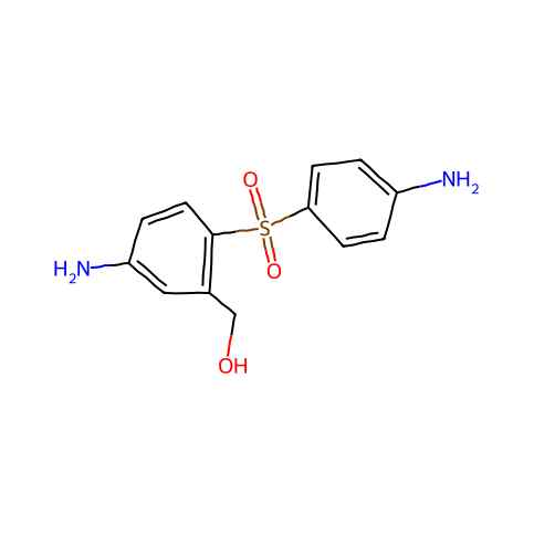 Nc1ccc(S(=O)(=O)c2ccc(N)cc2CO)cc1